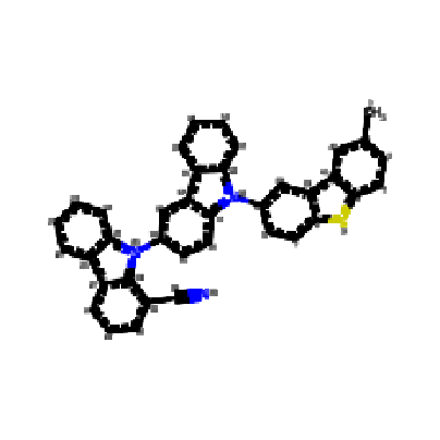 Cc1ccc2sc3ccc(-n4c5ccccc5c5cc(-n6c7ccccc7c7cccc(C#N)c76)ccc54)cc3c2c1